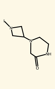 O=C1CN(C2CN(I)C2)CCN1